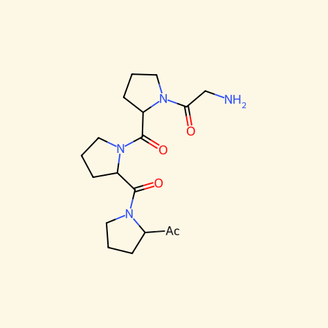 CC(=O)C1CCCN1C(=O)C1CCCN1C(=O)C1CCCN1C(=O)CN